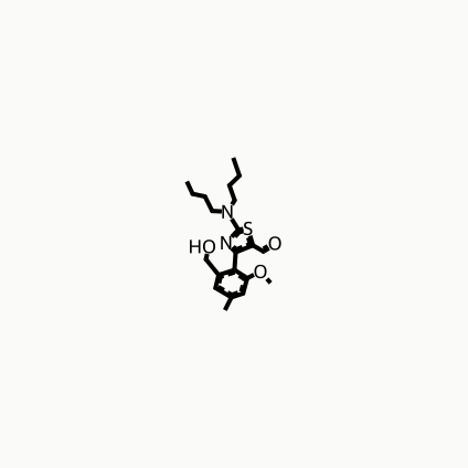 CCCCN(CCCC)c1nc(-c2c(CO)cc(C)cc2OC)c(C=O)s1